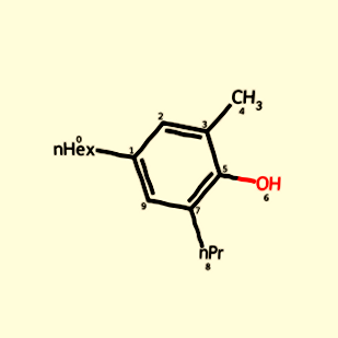 CCCCCCc1cc(C)c(O)c(CCC)c1